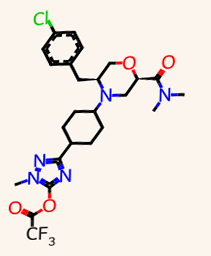 CN(C)C(=O)[C@H]1CN(C2CCC(c3nc(OC(=O)C(F)(F)F)n(C)n3)CC2)[C@@H](Cc2ccc(Cl)cc2)CO1